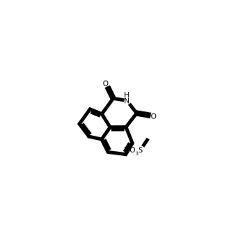 CS(=O)(=O)O.O=C1NC(=O)c2cccc3cccc1c23